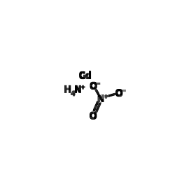 O=[N+]([O-])[O-].[Gd].[NH4+]